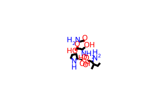 CC(N)C(=O)O.CCC(C)C(N)C(=O)O.NCC(=O)O.O=C(O)[C@@H]1CCCN1